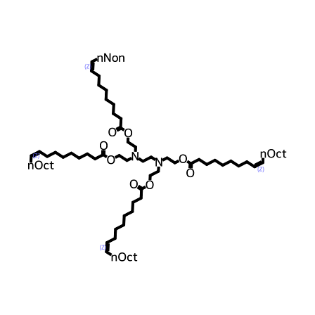 CCCCCCCC/C=C\CCCCCCCC(=O)OCCN(CCOC(=O)CCCCCCC/C=C\CCCCCCCC)CCN(CCOC(=O)CCCCCCC/C=C\CCCCCCCC)CCOC(=O)CCCCCCC/C=C\CCCCCCCCC